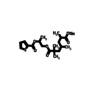 COC(=O)C(C)CC(C)CC(C)(C)C(=O)OCC(C)OC(=O)c1cccs1